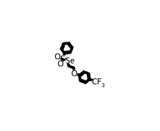 O=S(=O)([Se]CCOc1ccc(C(F)(F)F)cc1)c1ccccc1